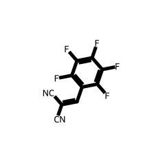 N#CC(C#N)=Cc1c(F)c(F)c(F)c(F)c1F